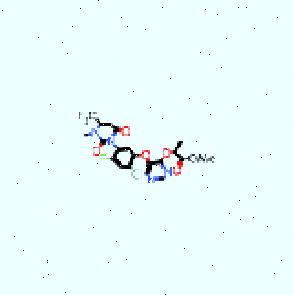 COC(=O)C(C)Oc1ncncc1Oc1cc(-n2c(=O)cc(C(F)(F)F)n(C)c2=O)c(F)cc1Cl